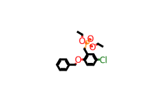 CCOP(=O)(Cc1cc(Cl)ccc1OCc1ccccc1)OCC